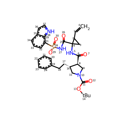 C=CC1CC1(NC(=O)[C@H]1CN(C(=O)OC(C)(C)C)C[C@@H]1CCc1ccccc1)C(=O)NS(=O)(=O)c1cccc2cc[nH]c12